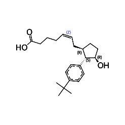 CC(C)(C)c1ccc([C@@H]2[C@@H](C/C=C\CCCC(=O)O)CC[C@H]2O)cc1